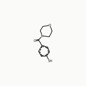 O=C(c1ccc(S)cc1)N1CCOCC1